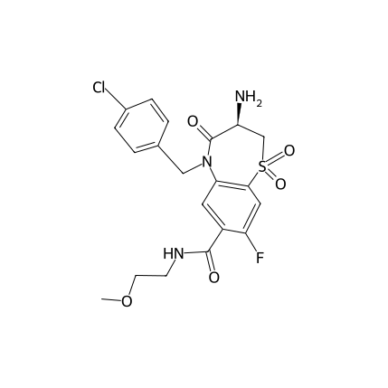 COCCNC(=O)c1cc2c(cc1F)S(=O)(=O)C[C@H](N)C(=O)N2Cc1ccc(Cl)cc1